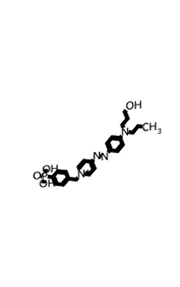 CCCN(CCCO)c1ccc(/N=N/c2cc[n+](Cc3ccc(P(=O)(O)O)cc3)cc2)cc1